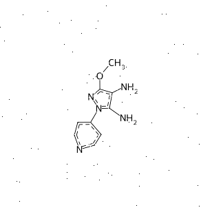 COc1nn(-c2ccncc2)c(N)c1N